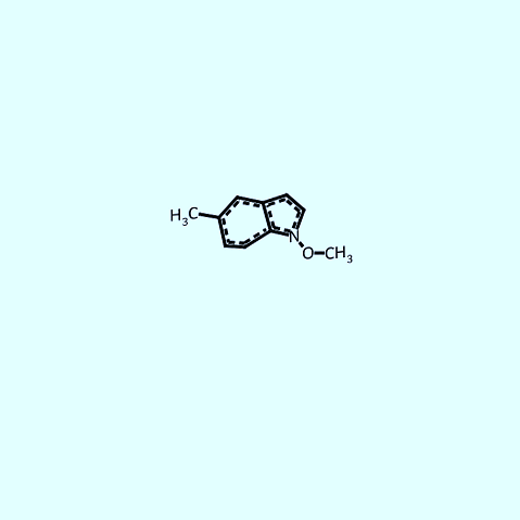 COn1ccc2cc(C)ccc21